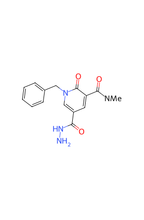 CNC(=O)c1cc(C(=O)NN)cn(Cc2ccccc2)c1=O